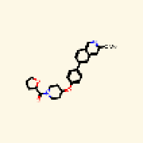 COc1cc2cc(-c3ccc(OC4CCN(C(=O)C5CCCO5)CC4)cc3)ccc2cn1